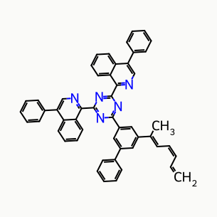 C=C/C=C\C=C(/C)c1cc(-c2ccccc2)cc(-c2nc(-c3ncc(-c4ccccc4)c4ccccc34)nc(-c3ncc(-c4ccccc4)c4ccccc34)n2)c1